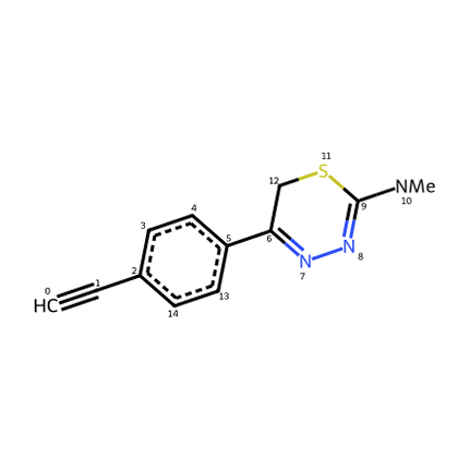 C#Cc1ccc(C2=NN=C(NC)SC2)cc1